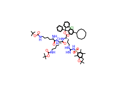 Cc1c(C)c(S(=O)(=O)NC(=N)NCCC[C@H](NC(=O)[C@H](CCCCNC(=O)OC(C)(C)C)NC(=O)C(N)CCCCNC(=O)OC(C)(C)C)C(=O)OC(c2ccccc2)(c2ccc(C3CCCCCCCCC3)cc2)c2ccccc2Cl)c(C)c2c1CC(C)(C)O2